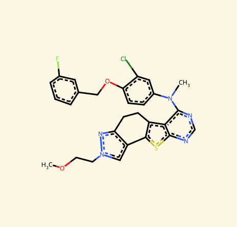 COCCn1cc2c(n1)CCc1c-2sc2ncnc(N(C)c3ccc(OCc4cccc(F)c4)c(Cl)c3)c12